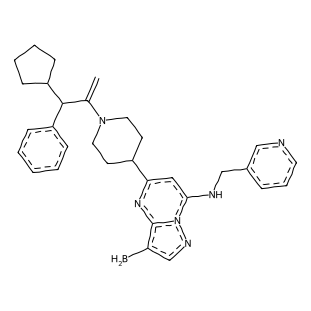 Bc1cnn2c(NCc3cccnc3)cc(C3CCN(C(=C)C(c4ccccc4)C4CCCC4)CC3)nc12